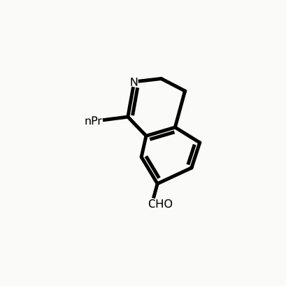 CCCC1=NCCc2ccc(C=O)cc21